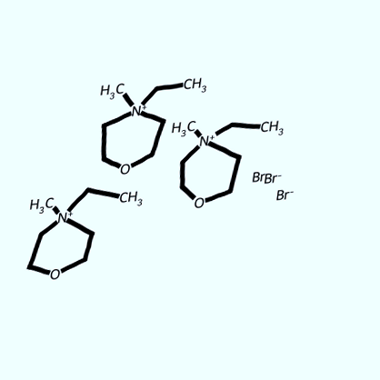 CC[N+]1(C)CCOCC1.CC[N+]1(C)CCOCC1.CC[N+]1(C)CCOCC1.[Br-].[Br-].[Br-]